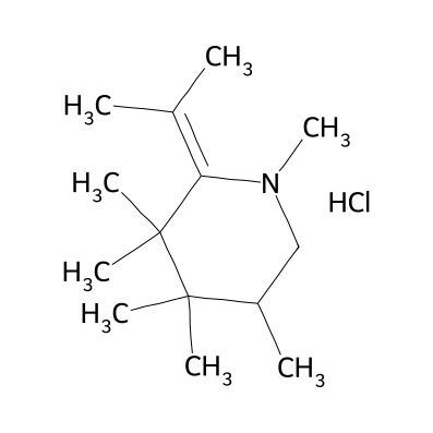 CC(C)=C1N(C)CC(C)C(C)(C)C1(C)C.Cl